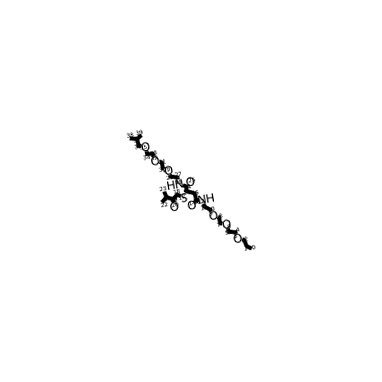 CCCOCCOCCOCCNC(=O)CC(SCC(=O)C(C)C)C(=O)NCCOCCOCCOCC(C)C